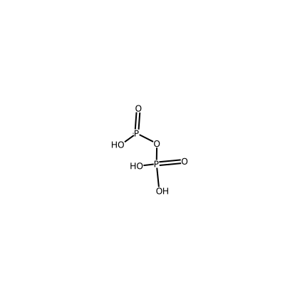 O=[P](O)OP(=O)(O)O